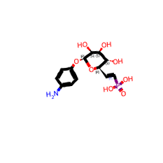 Nc1ccc(O[C@H]2O[C@H](/C=C/P(=O)(O)O)[C@@H](O)[C@H](O)[C@@H]2O)cc1